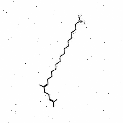 CC(C)=CCCC(C)=CCCCCCCCCCCCCCCC[NH2+][O-]